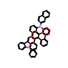 c1ccc(-c2ccccc2-c2c(-c3ccccc3)cccc2-c2ccccc2N(c2cccc(-c3ccc4c(c3)c3ccccc3n4-c3ccccc3)c2)c2ccc3ccccc3c2)cc1